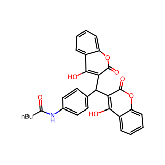 CCCCC(=O)Nc1ccc(C(c2c(O)c3ccccc3oc2=O)c2c(O)c3ccccc3oc2=O)cc1